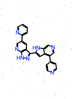 c1ccc(-c2cnc3[nH]nc(-c4cc5c(-c6ccncc6)cncc5[nH]4)c3c2)nc1